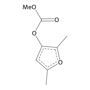 COC(=O)Oc1cc(C)oc1C